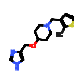 N#Cc1sccc1CN1CCC(OCc2c[nH]cn2)CC1